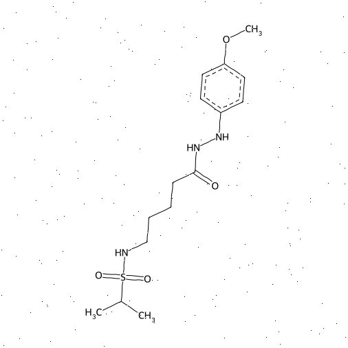 COc1ccc(NNC(=O)CCCCNS(=O)(=O)C(C)C)cc1